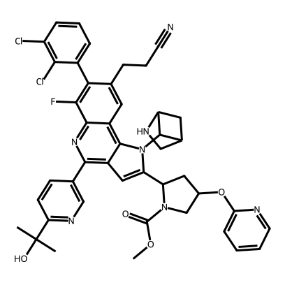 COC(=O)N1CC(Oc2ccccn2)CC1c1cc2c(-c3ccc(C(C)(C)O)nc3)nc3c(F)c(-c4cccc(Cl)c4Cl)c(CCC#N)cc3c2n1C1C2CNC1C2